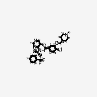 CN1CCC(COc2cc(COc3cncnc3NS(=O)(=O)c3ccccc3C(F)(F)F)ccc2Cl)CC1